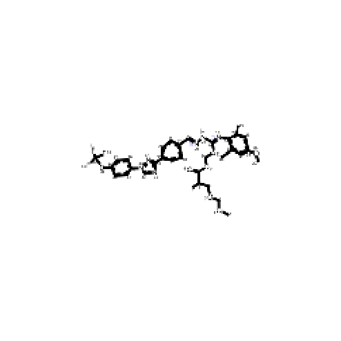 COCOCC(C)C(=O)OCS/C(=N\c1c(C)cc(OC)cc1C)N/N=C/c1ccc(-c2ncn(-c3ccc(OC(F)(F)F)cc3)n2)cc1